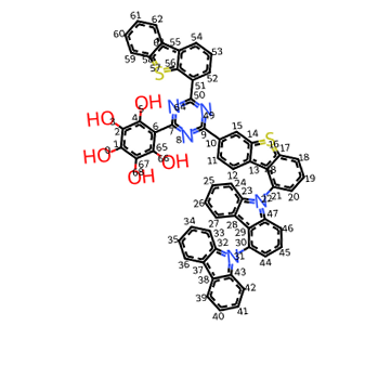 Oc1c(O)c(O)c(-c2nc(-c3ccc4c(c3)sc3cccc(-n5c6ccccc6c6c(-n7c8ccccc8c8ccccc87)cccc65)c34)nc(-c3cccc4c3sc3ccccc34)n2)c(O)c1O